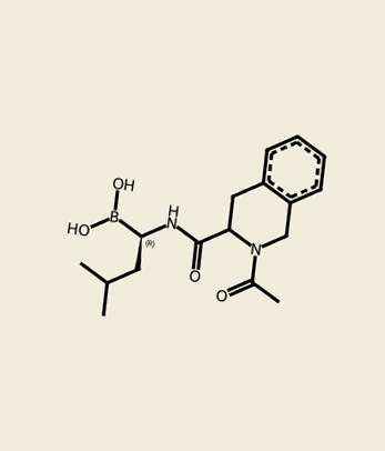 CC(=O)N1Cc2ccccc2CC1C(=O)N[C@@H](CC(C)C)B(O)O